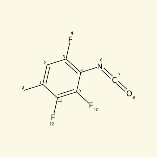 Cc1cc(F)c(N=C=O)c(F)c1F